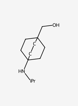 CC(C)NC12CCC(CO)(CC1)CC2